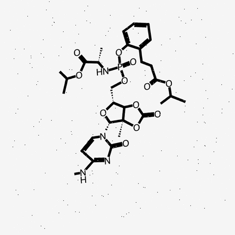 CNc1ccn([C@@H]2O[C@H](COP(=O)(N[C@@H](C)C(=O)OC(C)C)Oc3ccccc3CCC(=O)OC(C)C)C3OC(=O)O[C@]32C)c(=O)n1